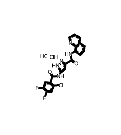 Cl.Cl.O=C(Nc1cccc2cccnc12)c1cc(NC(=O)c2cc(F)c(F)cc2Cl)[nH]n1